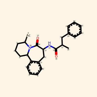 CC(=O)C1CCCC2c3ccccc3CC(NC(=O)C(C)Cc3ccccc3)C(=O)N12